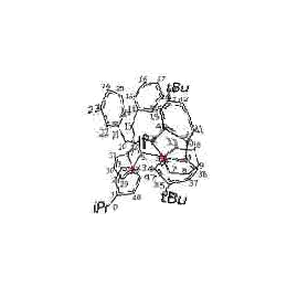 CC(C)c1ccc([C](C2CCCCC2)=[Hf]([CH2]c2ccccc2)([CH2]c2ccccc2)([CH]2C=CC=C2)[CH]2c3cc(C(C)(C)C)ccc3-c3ccc(C(C)(C)C)cc32)cc1